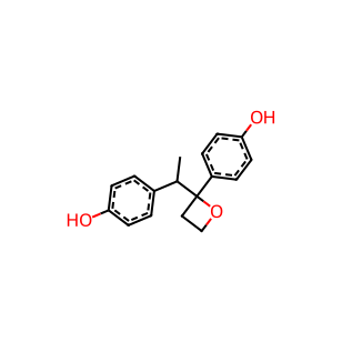 CC(c1ccc(O)cc1)C1(c2ccc(O)cc2)CCO1